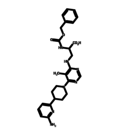 Cc1c(NCC(NC(=O)OCc2ccccc2)C(=O)O)ncnc1N1CCC(c2cccc(N)n2)CC1